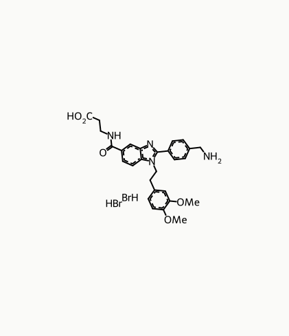 Br.Br.COc1ccc(CCn2c(-c3ccc(CN)cc3)nc3cc(C(=O)NCCC(=O)O)ccc32)cc1OC